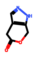 O=C1Cc2cn[nH]c2CO1